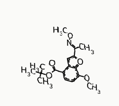 CON=C(C)c1cc2c(C(=O)OC(C)(C)C)ccc(OC)c2o1